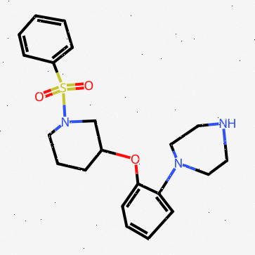 O=S(=O)(c1ccccc1)N1CCCC(Oc2ccccc2N2CCNCC2)C1